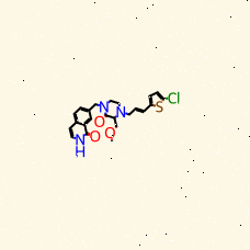 COCC1C(=O)N(Cc2ccc3cc[nH]c(=O)c3c2)CCN1C/C=C/c1ccc(Cl)s1